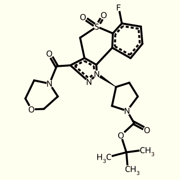 CC(C)(C)OC(=O)N1CC[C@H](n2nc(C(=O)N3CCOCC3)c3c2-c2cccc(F)c2S(=O)(=O)C3)C1